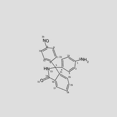 Nc1ccc(C2(c3ccc(N=O)cc3)NC(=O)c3ccccc32)cc1